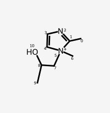 CC1=NC=C[N+]1(C)CC(C)O